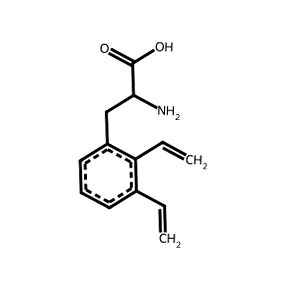 C=Cc1cccc(CC(N)C(=O)O)c1C=C